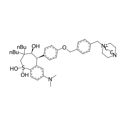 CCCCC1(CCCC)CS(O)(O)c2ccc(N(C)C)cc2[C@H](c2ccc(OCc3ccc(C[N+]45CCN(CC4)CC5)cc3)cc2)[C@@H]1O